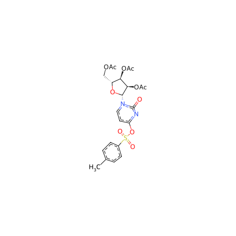 CC(=O)OC[C@H]1O[C@@H](n2ccc(OS(=O)(=O)c3ccc(C)cc3)nc2=O)[C@H](OC(C)=O)[C@@H]1OC(C)=O